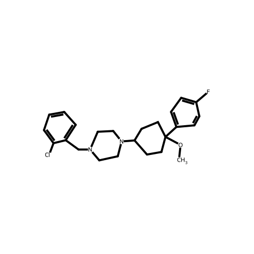 COC1(c2ccc(F)cc2)CCC(N2CCN(Cc3ccccc3Cl)CC2)CC1